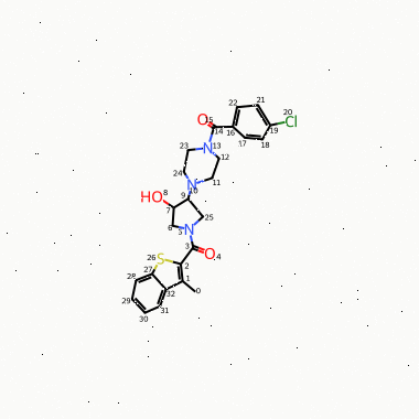 Cc1c(C(=O)N2CC(O)C(N3CCN(C(=O)c4ccc(Cl)cc4)CC3)C2)sc2ccccc12